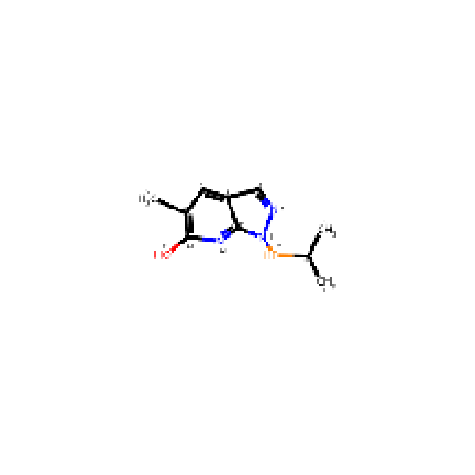 Cc1cc2cnn(PC(C)C)c2nc1O